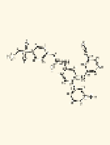 CCS(=O)(=O)c1ccc(CC(=O)Nc2ccc(-c3cccc(F)c3)c(Oc3cccc(C#N)c3)c2)cc1